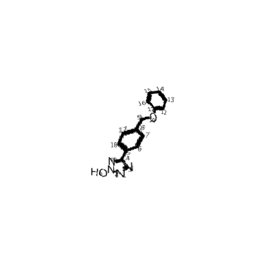 On1nnc(-c2ccc(COc3ccccc3)cc2)n1